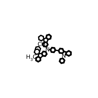 CC1CC2CC(C)C3(c4ccccc4-c4ccc(N(c5ccc(-c6ccc7c8ccccc8n(-c8ccccc8)c7c6)cc5)c5ccc6c(c5)-c5ccccc5C65CCCCC5)cc43)C(C1)C2